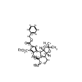 CCOC(=O)c1c(N)c([C@H]2[C@@H]3OC(C)(C)O[C@@H]3[C@@H](CF)N2C(=O)OC(C)(C)C)cn1C(=O)OCc1ccccc1